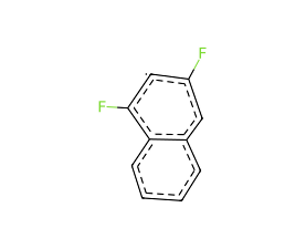 Fc1[c]c(F)c2ccccc2c1